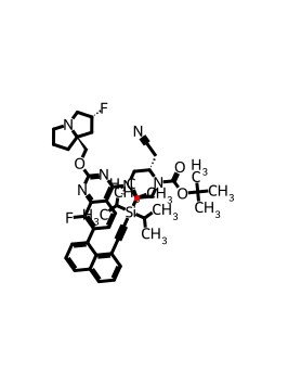 CC(C)[Si](C#Cc1cccc2cccc(-c3ccc4c(N5CCN(C(=O)OC(C)(C)C)[C@@H](CC#N)C5)nc(OC[C@@]56CCCN5C[C@H](F)C6)nc4c3F)c12)(C(C)C)C(C)C